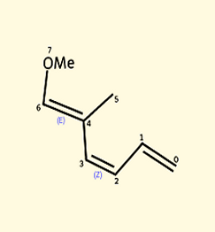 C=C/C=C\C(C)=C\OC